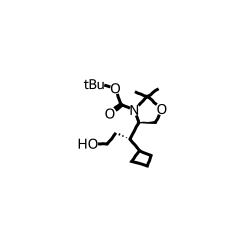 CC(C)(C)OC(=O)N1[C@H]([C@@H](CCO)C2CCC2)COC1(C)C